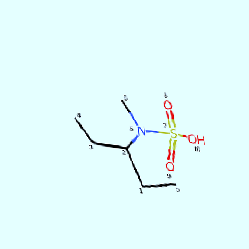 CCC(CC)N(C)S(=O)(=O)O